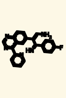 N=C(/C(=C\N)c1ccc2ncnc(-c3ccccn3)c2c1)c1ccc(F)cc1